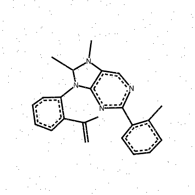 C=C(C)c1ccccc1N1c2nc(-c3ccccc3C)ncc2N(C)C1C